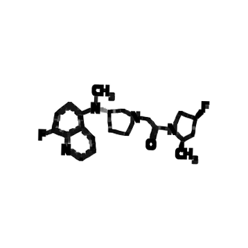 C[C@@H]1C[C@H](F)CN1C(=O)CN1CC[C@H](N(C)c2ccc(F)c3ncccc23)C1